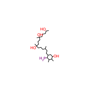 CC(O)CCCC(C)(O)CCCC(C)(O)CCCC(C)CCC1CC(O)C(C)C(C)C1P